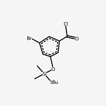 CC(C)(C)[Si](C)(C)Oc1cc(Br)cc(C(=O)Cl)c1